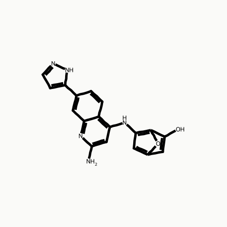 Nc1cc(Nc2cc3cc(O)c2o3)c2ccc(-c3ccn[nH]3)cc2n1